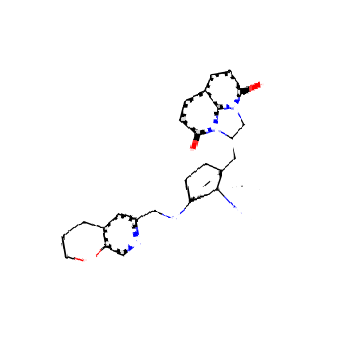 C[C@]1(N)CC2(NCc3cc4c(cn3)OCCC4)CCC1(C[C@@H]1Cn3c(=O)ccc4ccc(=O)n1c43)CC2